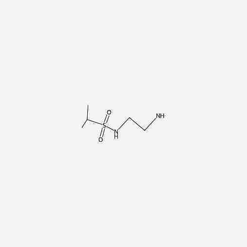 CC(C)S(=O)(=O)NCC[NH]